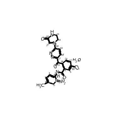 CC1=CC=C(NC(=O)c2cc(Cl)ccc2C(=O)c2ccc(N3CCNC(=O)C3)nn2)N(N)C1.O